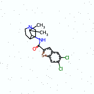 CC1(C)C(NC(=O)c2cc3cc(Cl)c(Cl)cc3s2)C2CCN1CC2